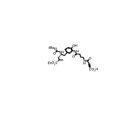 CCOC(=O)C(C)C[C@H](Cc1ccc(O)c(NC(=O)CCCNC(=O)C#CC(=O)O)c1)NC(=O)OC(C)(C)C